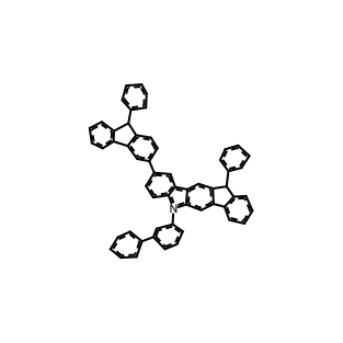 c1ccc(-c2cccc(-n3c4ccc(-c5ccc6c(c5)-c5ccccc5C6c5ccccc5)cc4c4cc5c(cc43)-c3ccccc3C5c3ccccc3)c2)cc1